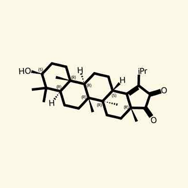 CC(C)C1=C2[C@H]3CC[C@@H]4[C@@]5(C)CC[C@H](O)C(C)(C)[C@@H]5CC[C@@]4(C)[C@]3(C)CC[C@@]2(C)C(=O)C1=O